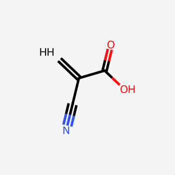 C=C(C#N)C(=O)O.[HH]